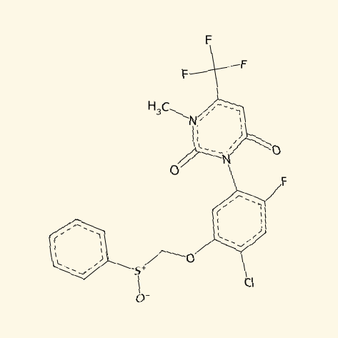 Cn1c(C(F)(F)F)cc(=O)n(-c2cc(OC[S+]([O-])c3ccccc3)c(Cl)cc2F)c1=O